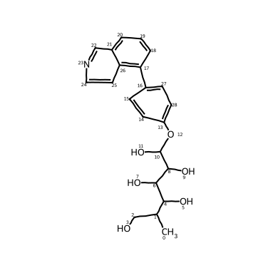 CC(CO)C(O)C(O)C(O)C(O)Oc1ccc(-c2cccc3cnccc23)cc1